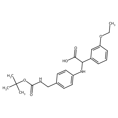 CCOc1cccc(C(Nc2ccc(CNC(=O)OC(C)(C)C)cc2)C(=O)O)c1